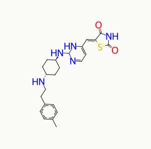 Cc1ccc(CCN[C@H]2CC[C@H](NC3N=CC=C(/C=C4\SC(=O)NC4=O)N3)CC2)cc1